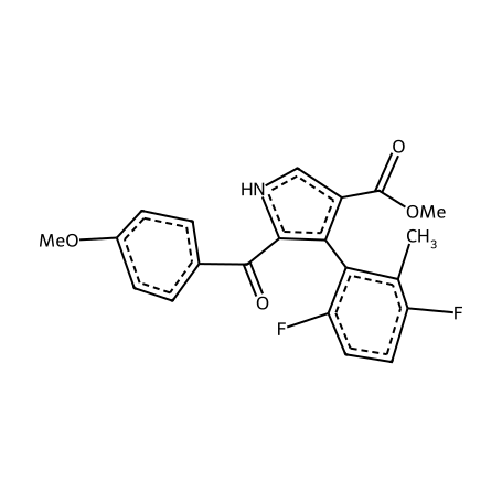 COC(=O)c1c[nH]c(C(=O)c2ccc(OC)cc2)c1-c1c(F)ccc(F)c1C